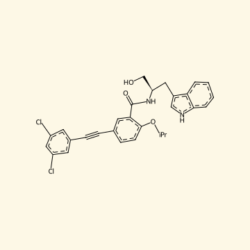 CC(C)Oc1ccc(C#Cc2cc(Cl)cc(Cl)c2)cc1C(=O)N[C@@H](CO)Cc1c[nH]c2ccccc12